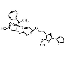 COc1oc(-c2cccs2)nc1CCOc1ccc(CN(CC(=O)O)S(=O)(=O)N(C)c2ccccc2)cc1